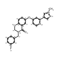 Cn1cc(-c2cc(Oc3ccc4c(c3)C(=O)N(Cc3cccc(F)c3)CO4)ccn2)cn1